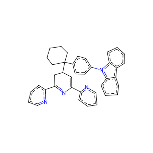 C1=C(c2ccccn2)N=C(c2ccccn2)CC1C1(c2ccc(-n3c4ccccc4c4ccccc43)cc2)CCCCC1